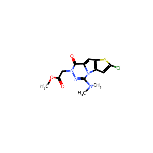 COC(=O)Cn1nc(N(C)C)n2c(cc3sc(Cl)cc32)c1=O